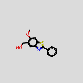 COc1cc2sc(-c3ccccc3)nc2cc1CO